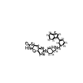 O=C1NC(=O)/C(=C\c2ccnc(N3CCC(CNCc4cccc(-c5csc6ccccc56)c4)CC3)n2)S1